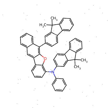 CC1(C)c2ccccc2-c2ccc(-c3c4ccccc4cc4c3oc3c(N(c5ccccc5)c5ccc6c(c5)C(C)(C)c5ccccc5-6)cccc34)cc21